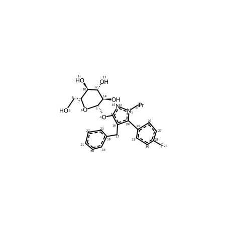 CC(C)n1nc(O[C@@H]2O[C@H](CO)[C@@H](O)[C@H](O)[C@H]2O)c(Cc2ccccc2)c1-c1ccc(F)cc1